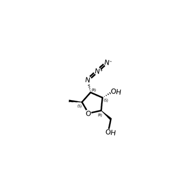 C[C@@H]1O[C@H](CO)[C@@H](O)[C@H]1N=[N+]=[N-]